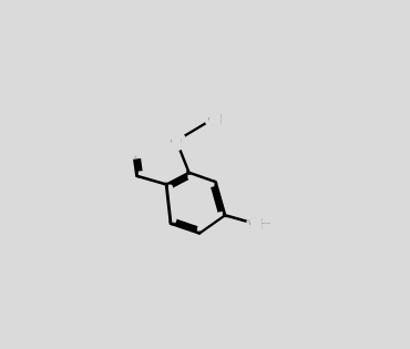 COc1cc(C)ccc1C=O